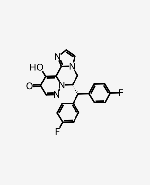 O=c1cnn2c(c1O)-c1nccn1C[C@@H]2C(c1ccc(F)cc1)c1ccc(F)cc1